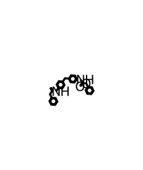 C=C(Cc1ccccc1)Nc1ccc(Cc2ccc(NC(=O)Oc3ccccc3)cc2)cc1